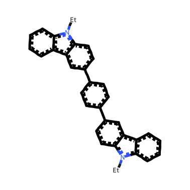 CCn1c2ccccc2c2cc(-c3ccc(-c4ccc5c(c4)c4ccccc4n5CC)cc3)ccc21